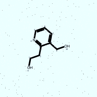 OCCc1ncccc1CO